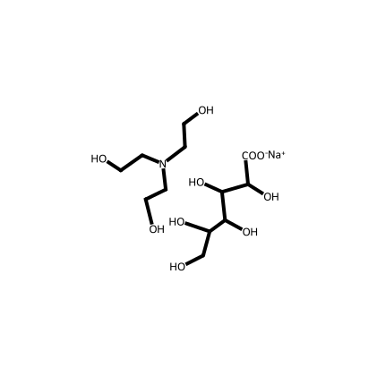 O=C([O-])C(O)C(O)C(O)C(O)CO.OCCN(CCO)CCO.[Na+]